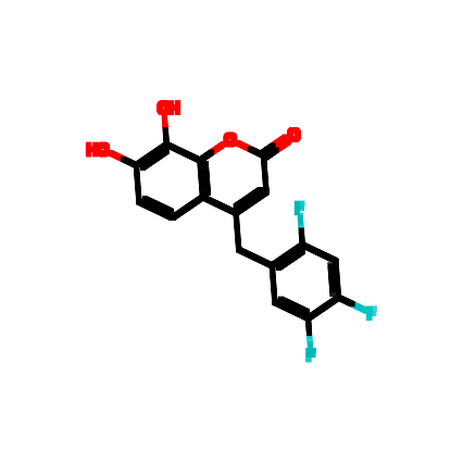 O=c1cc(Cc2cc(F)c(F)cc2F)c2ccc(O)c(O)c2o1